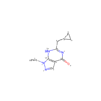 CCCCCn1ncc2c(=O)nc(CC3CC3)[nH]c21